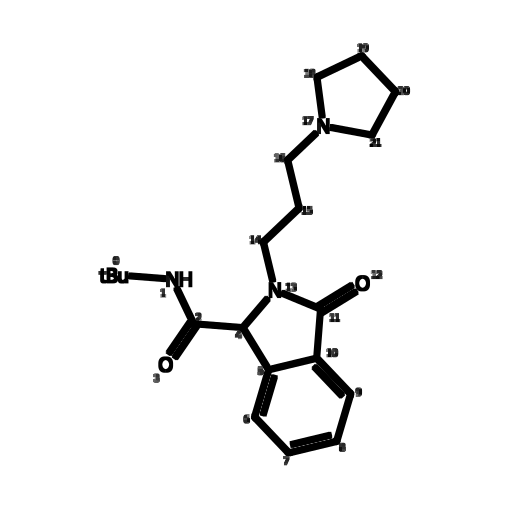 CC(C)(C)NC(=O)C1c2ccccc2C(=O)N1CCCN1CCCC1